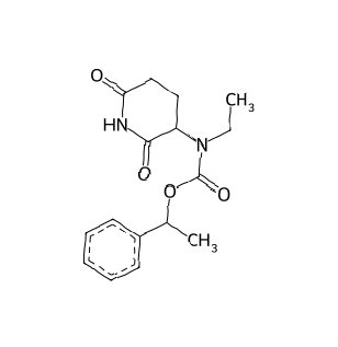 CCN(C(=O)OC(C)c1ccccc1)C1CCC(=O)NC1=O